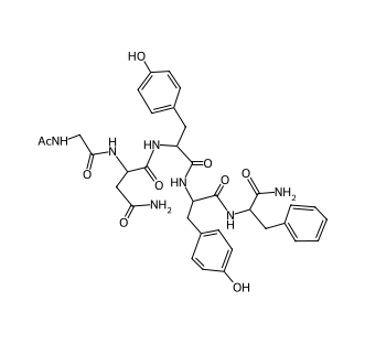 CC(=O)NCC(=O)NC(CC(N)=O)C(=O)NC(Cc1ccc(O)cc1)C(=O)NC(Cc1ccc(O)cc1)C(=O)NC(Cc1ccccc1)C(N)=O